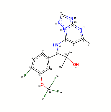 Cc1cc(N[C@@H](c2ccc(F)c(OC(F)(F)F)c2)C(C)(C)O)n2ncnc2n1